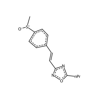 CCCc1nc(C=Cc2ccc([S+](C)[O-])cc2)no1